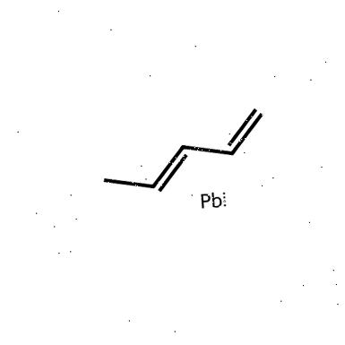 C=CC=CC.[Pb]